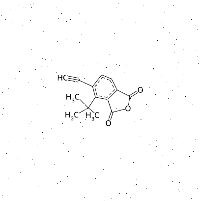 C#Cc1ccc2c(c1C(C)(C)C)C(=O)OC2=O